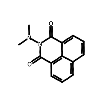 CN(C)N1C(=O)c2cccc3cccc(c23)C1=O